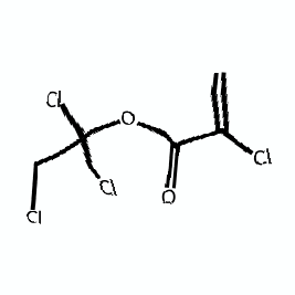 C=C(Cl)C(=O)OC(Cl)(Cl)CCl